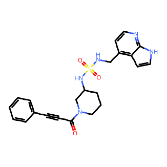 O=C(C#Cc1ccccc1)N1CCCC(NS(=O)(=O)NCc2ccnc3[nH]ccc23)C1